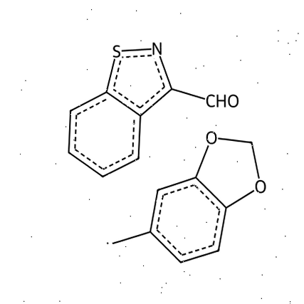 O=Cc1nsc2ccccc12.[CH2]c1ccc2c(c1)OCO2